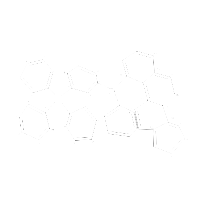 c1ccc(N(c2cccc([Si](c3ccccc3)(c3ccccc3)c3ccccc3)c2)c2cccc3ccc4c5ccccc5ccc4c23)cc1